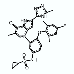 Cc1nnc(-c2cc3c([nH]2)c(=O)c(C)cn3-c2cc(NS(=O)(=O)C3CC3)ccc2Oc2c(C)cc(F)cc2C)[nH]1